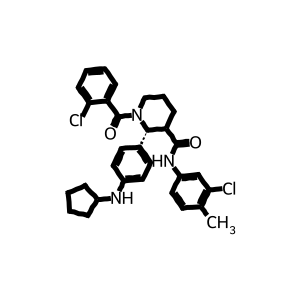 Cc1ccc(NC(=O)C2CCCN(C(=O)c3ccccc3Cl)[C@H]2c2ccc(NC3CCCC3)cc2)cc1Cl